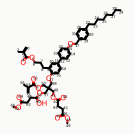 C=C(C)C(=O)OCCCc1cc(-c2ccc(OCc3ccc(CCCCCCCC)cc3)cc2)ccc1OCC(COC(=O)CCC(=O)OC)(COC(=O)C(=C)C)COC(O)CCC(=O)OC